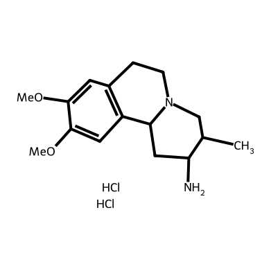 COc1cc2c(cc1OC)C1CC(N)C(C)CN1CC2.Cl.Cl